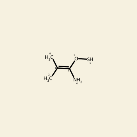 CC(C)=C(N)OS